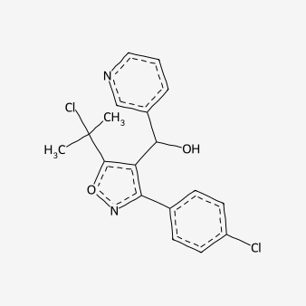 CC(C)(Cl)c1onc(-c2ccc(Cl)cc2)c1C(O)c1cccnc1